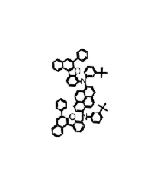 CC(C)(C)c1cccc(N(c2ccc3ccc4c(N(c5cccc(C(C)(C)C)c5)c5cccc6c5oc5c(-c7ccccc7)cc7ccccc7c56)ccc5ccc2c3c54)c2cccc3c2oc2c(-c4ccccc4)cc4ccccc4c23)c1